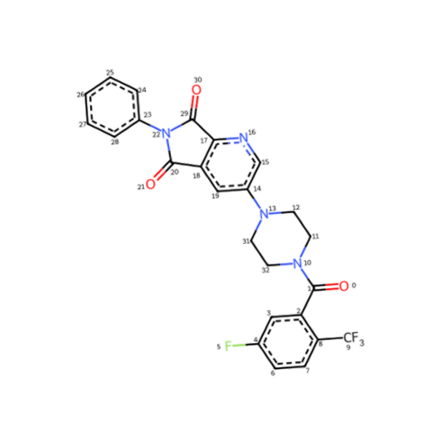 O=C(c1cc(F)ccc1C(F)(F)F)N1CCN(c2cnc3c(c2)C(=O)N(c2ccccc2)C3=O)CC1